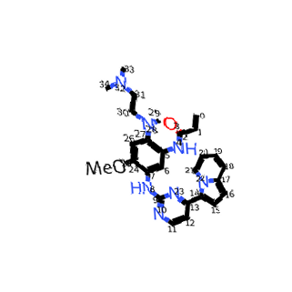 C=CC(=O)Nc1cc(Nc2nccc(-c3ccc4ccccn34)n2)c(OC)cc1N(C)CCN(C)C